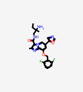 CCC(C)(N)CNC(=O)c1c(C)nc2c(OCc3c(F)cccc3F)cc(-c3cnco3)cn12